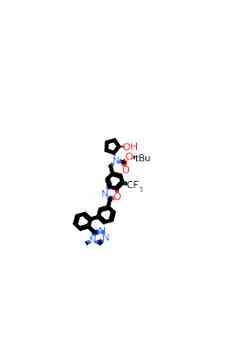 Cn1cnnc1-c1ccccc1-c1cccc(-c2nc3cc(CN(C(=O)OC(C)(C)C)[C@@H]4CCC[C@H]4O)cc(C(F)(F)F)c3o2)c1